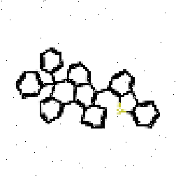 c1ccc(C2(c3ccccc3)c3ccccc3-c3c4ccccc4c(-c4cccc5c4sc4ccccc45)c4cccc2c34)cc1